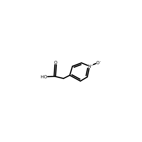 O=C(O)Cc1cc[n+]([O-])cc1